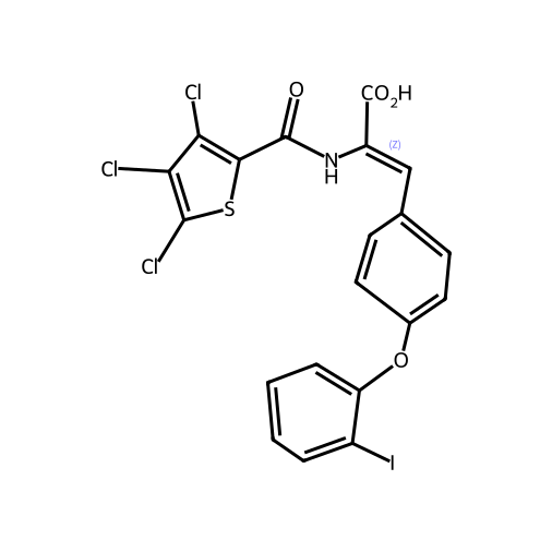 O=C(O)/C(=C/c1ccc(Oc2ccccc2I)cc1)NC(=O)c1sc(Cl)c(Cl)c1Cl